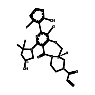 C=CC(=O)N1CCN2C(=O)c3c(N4C[C@@H](O)CC4(C)C)nc(-c4c(O)cccc4F)c(Cl)c3OC[C@H]2C1